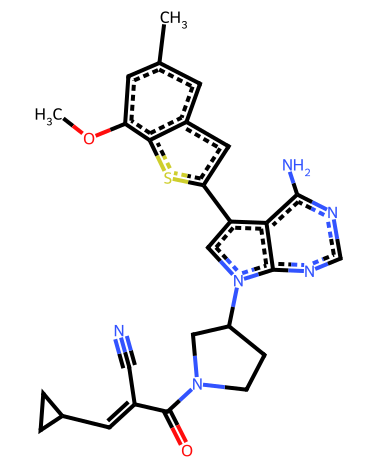 COc1cc(C)cc2cc(-c3cn(C4CCN(C(=O)C(C#N)=CC5CC5)C4)c4ncnc(N)c34)sc12